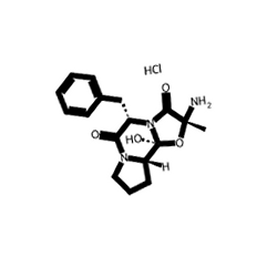 C[C@@]1(N)O[C@@]2(O)[C@@H]3CCCN3C(=O)[C@H](Cc3ccccc3)N2C1=O.Cl